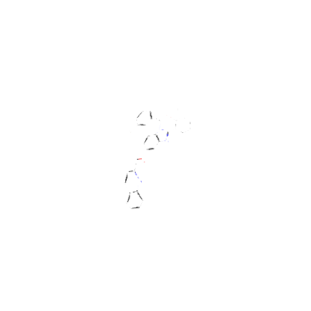 O=COC1CCCCC1c1nc2cc(OCc3ccc4ccccc4n3)ccc2n1Cc1cccc(Br)c1